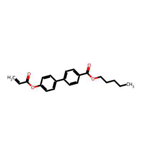 C=CC(=O)Oc1ccc(-c2ccc(C(=O)OCCCCC)cc2)cc1